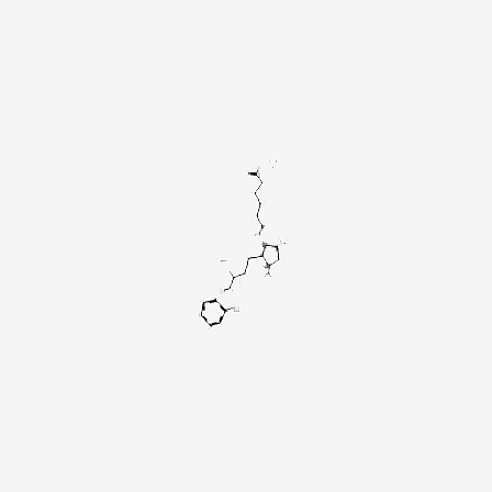 COC(=O)CCCCCC[C@@H]1C(CCC(O)CSc2ccccc2Br)[C@H](O)C[C@@H]1O